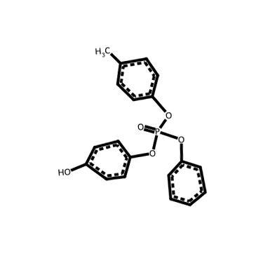 Cc1ccc(OP(=O)(Oc2ccccc2)Oc2ccc(O)cc2)cc1